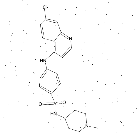 CN1CCC(NS(=O)(=O)c2ccc(Nc3ccnc4cc(Cl)ccc34)cc2)CC1